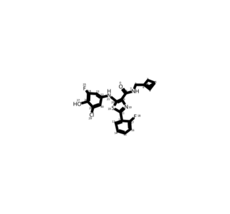 O=C(NCC12CC(C1)C2)c1nc(-c2ccccc2F)sc1Nc1cc(F)c(O)c(Cl)c1